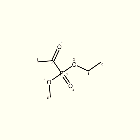 CCOP(=O)(OC)C(C)=O